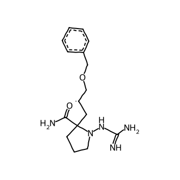 N=C(N)NN1CCCC1(C[CH]COCc1ccccc1)C(N)=O